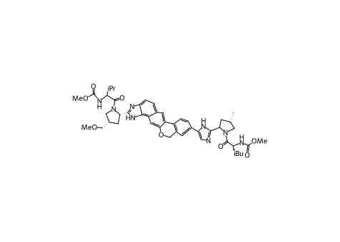 CCC(C)[C@H](NC(=O)OC)C(=O)N1C[C@@H](C)CC1c1ncc(-c2ccc3c(c2)COc2cc4c(ccc5nc([C@@H]6C[C@H](COC)CN6C(=O)C(NC(=O)OC)C(C)C)[nH]c54)cc2-3)[nH]1